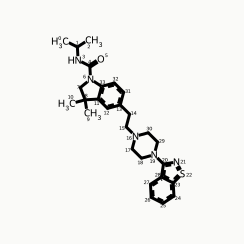 CC(C)NC(=O)N1CC(C)(C)c2cc(CCN3CCN(c4nsc5ccccc45)CC3)ccc21